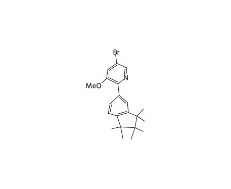 COc1cc(Br)cnc1-c1ccc2c(c1)C(C)(C)C(C)(C)C2(C)C